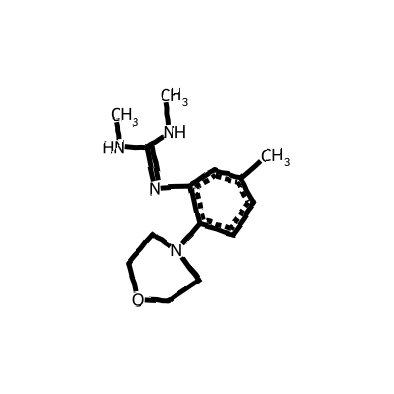 CNC(=Nc1cc(C)ccc1N1CCOCC1)NC